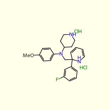 COc1ccc(N(CC2(c3cccc(F)c3)C=CC=CN2)C2CCNCC2)cc1.Cl.Cl